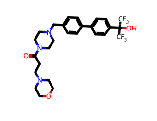 O=C(CCN1CCOCC1)N1CCN(Cc2ccc(-c3ccc(C(O)(C(F)(F)F)C(F)(F)F)cc3)cc2)CC1